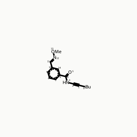 CCC(C)C#CNC(=O)c1cccc(C=NOC)c1